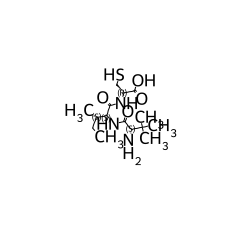 CC[C@H](C)[C@H](NC(=O)[C@@H](N)C(C)(C)C)C(=O)N[C@@H](CS)C(=O)O